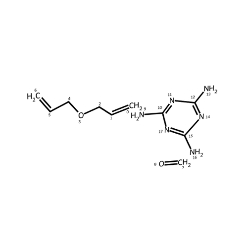 C=CCOCC=C.C=O.Nc1nc(N)nc(N)n1